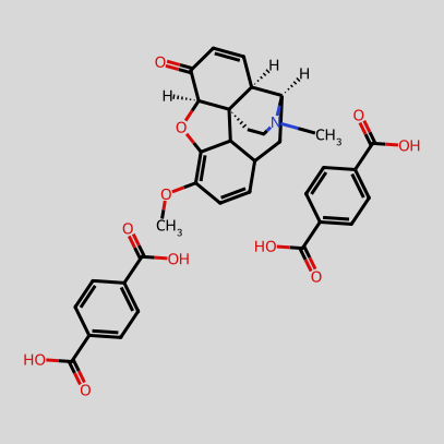 COC1=C2O[C@H]3C(=O)C=C[C@H]4[C@H]5CC(C=C1)C2[C@@]34CCN5C.O=C(O)c1ccc(C(=O)O)cc1.O=C(O)c1ccc(C(=O)O)cc1